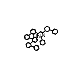 C1=CC(C2CCCC(C3=CC(c4cccc(-c5ccccc5-c5ccccc5-c5ccccc5-c5ccccc5)c4)NC(C4=CCCCC4)=N3)C2)=CCC1